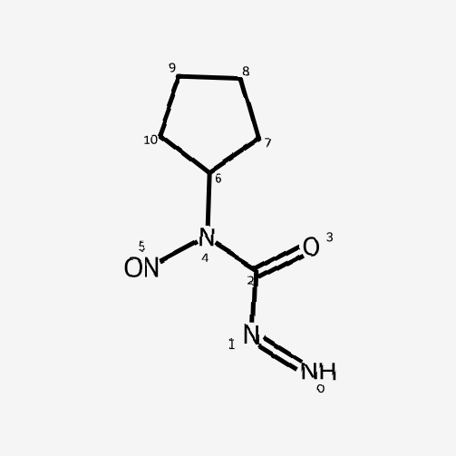 N=NC(=O)N(N=O)C1CCCC1